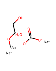 CCCCOCCO.O.O=[Si]([O-])[O-].[Na+].[Na+]